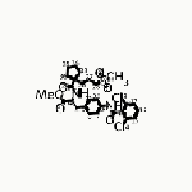 COC(=O)[C@H](Cc1ccc(NC(=O)c2c(Cl)cccc2Cl)cc1)NC(=O)C1(CCCS(C)(=O)=O)CCCC1